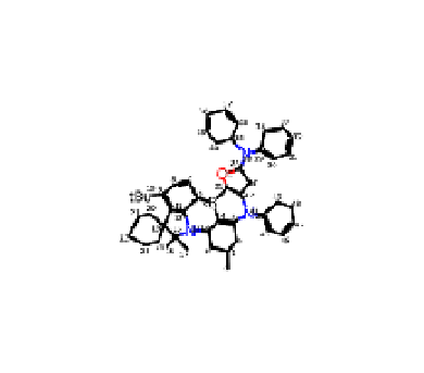 CC1CC2=C3B(C4C=CC(C(C)(C)C)=C5C4N(C3C1)C(C)(C)C51CCCCC1)C1OC(N(c3ccccc3)C3C=CC=CC3)CC1N2C1=CC=CCC1